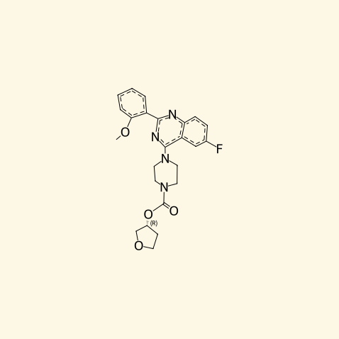 COc1ccccc1-c1nc(N2CCN(C(=O)O[C@@H]3CCOC3)CC2)c2cc(F)ccc2n1